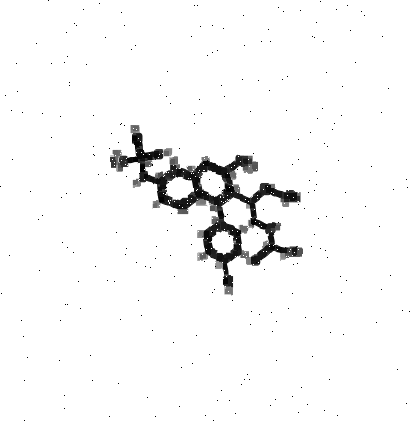 CCCCOC(COC(=O)C(C)(C)C)c1c(C)cc2nc(OS(=O)(=O)C(F)(F)F)ccc2c1-c1ccc(Cl)cc1